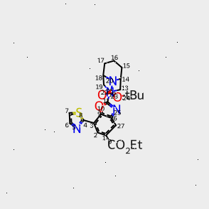 CCOC(=O)c1cc(-c2nccs2)c2oc(N3CC4CCCC(C3)N4C(=O)OC(C)(C)C)nc2c1